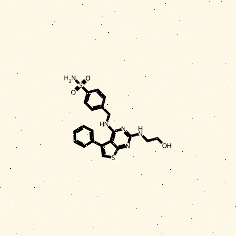 NS(=O)(=O)c1ccc(CNc2nc(NCCO)nc3scc(-c4ccccc4)c23)cc1